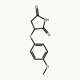 COc1ccc(SC2CC(=O)NC2=O)cc1